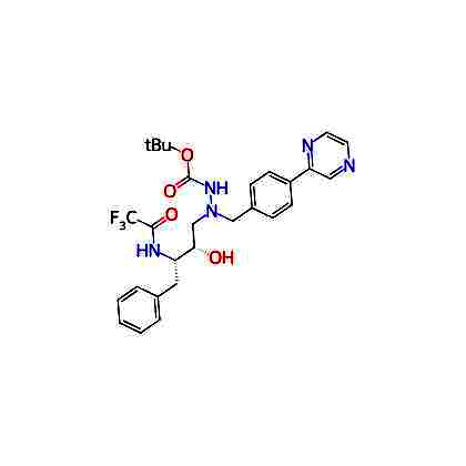 CC(C)(C)OC(=O)NN(Cc1ccc(-c2cnccn2)cc1)C[C@H](O)[C@H](Cc1ccccc1)NC(=O)C(F)(F)F